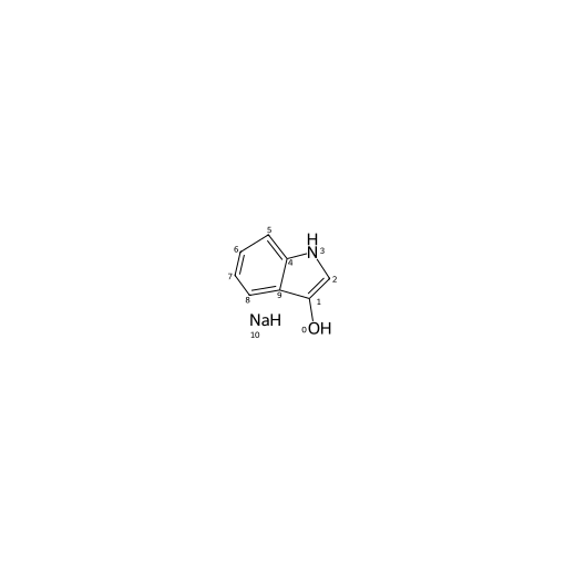 Oc1c[nH]c2ccccc12.[NaH]